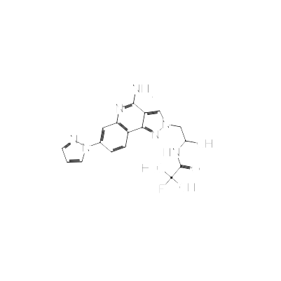 CC(Cn1cc2c(N)nc3cc(-n4cccn4)ccc3c2n1)NC(=O)C(C)(C)F